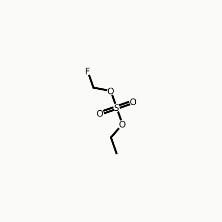 CCOS(=O)(=O)OCF